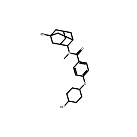 CN(C(=O)c1ccc(OC2CCC(O)CC2)cc1)C1C2CC3CC1CC(O)(C3)C2